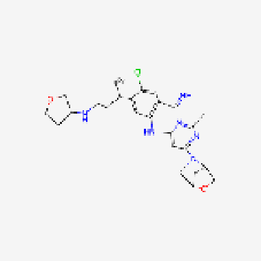 CCCC(CCNC1CCOC1)c1cc(Nc2cc(N3CC4CC3CO4)nc(C)n2)c(C=N)cc1Cl